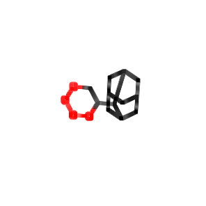 C1C2CC3CC1CC(C2)C3C1COOOO1